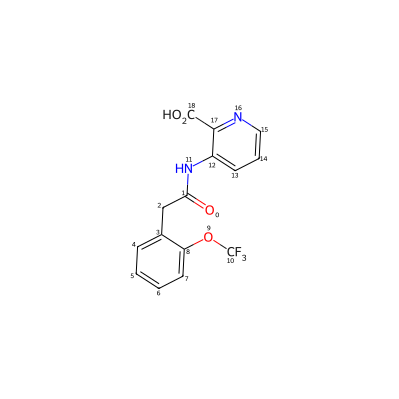 O=C(Cc1ccccc1OC(F)(F)F)Nc1cccnc1C(=O)O